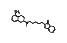 CN(CCCCCc1cc2ccccc2[nH]1)C1CCc2c(N)cccc2C1